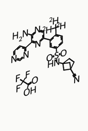 O=C(O)C(F)(F)F.[2H]C([2H])([2H])c1ccc(S(=O)(=O)NC23CCC(C#N)(C2)C3)cc1-c1cnc(N)c(-c2ccncn2)n1